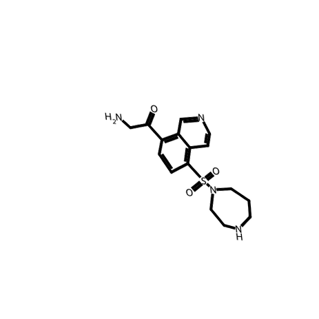 NCC(=O)c1ccc(S(=O)(=O)N2CCCNCC2)c2ccncc12